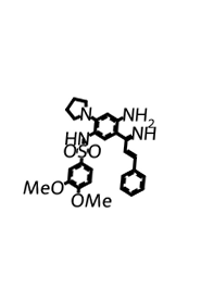 COc1ccc(S(=O)(=O)Nc2cc(C(=N)/C=C/c3ccccc3)c(N)cc2N2CCCC2)cc1OC